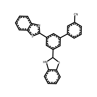 N#Cc1cccc(-c2cc(-c3nc4ccccc4s3)cc(C3Nc4ccccc4S3)c2)c1